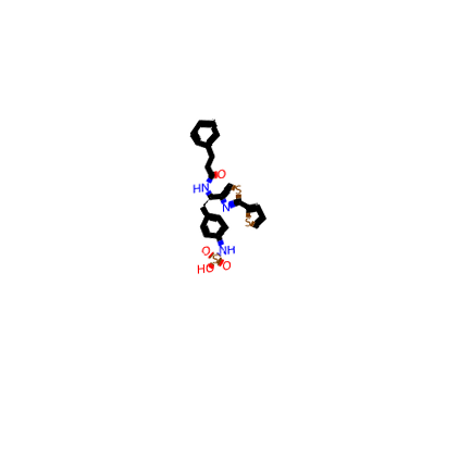 O=C(CCc1ccccc1)N[C@@H](Cc1ccc(NS(=O)(=O)O)cc1)c1csc(-c2cccs2)n1